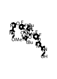 COCCn1cc(-c2cc(Oc3ccc(NC(=O)N(c4cc(C(C)(C)C)nn4C)N(C(=O)Nc4ccc(Oc5ccnc(-c6cnn(CCO)c6)c5)c(F)c4F)c4cc(C(C)(C)C)nn4C)c(F)c3F)ccn2)cn1